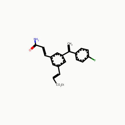 C=C(c1ccc(F)cc1)c1cc(C=CC(N)=O)cc(C=CC(=O)OCC)c1